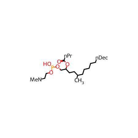 CCCCCCCCCCCCCCCC(C)CCC(COP(O)OCCNC)OC(=O)CCC